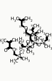 C=C(C)C(=O)OC[Si](C)(C)C.C=C[Si](C)(C)O[Si](CCCOCC(=C)C)(O[Si](C)(C)C=C)O[Si](C)(C)C=C